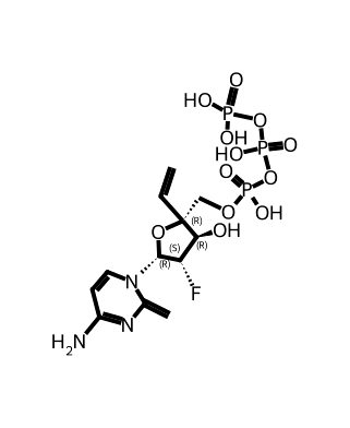 C=C[C@]1(COP(=O)(O)OP(=O)(O)OP(=O)(O)O)O[C@@H](N2C=CC(N)=NC2=C)[C@@H](F)[C@@H]1O